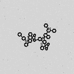 c1ccc(-c2ccc(-n3c4ccccc4c4ccc5c(c43)Sc3ccccc3C53c4ccccc4-c4c(-c5ccc6c(c5)c5c7c(ccc5n6-c5ccc(-c6cc(-c8ccccc8)nc(-c8ccccc8)c6)c6ccccc56)C5(c6ccccc6S7)c6ccccc6-c6ccccc65)cccc43)cc2)cc1